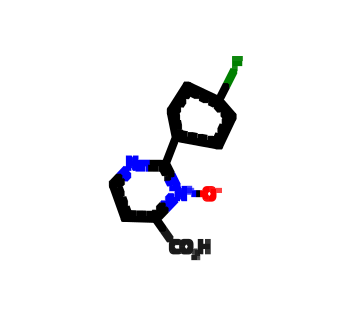 O=C(O)c1ccnc(-c2ccc(F)cc2)[n+]1[O-]